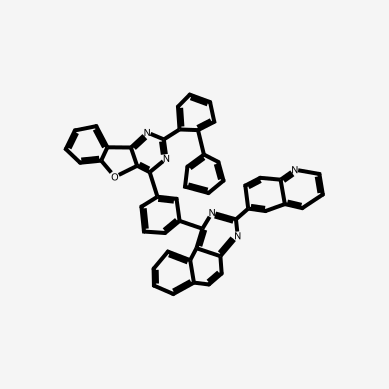 c1ccc(-c2ccccc2-c2nc(-c3cccc(-c4nc(-c5ccc6ncccc6c5)nc5ccc6ccccc6c45)c3)c3oc4ccccc4c3n2)cc1